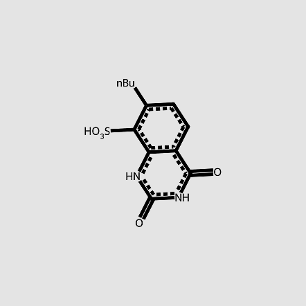 CCCCc1ccc2c(=O)[nH]c(=O)[nH]c2c1S(=O)(=O)O